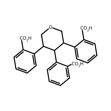 O=C(O)c1ccccc1C1COCC(c2ccccc2C(=O)O)C1c1ccccc1C(=O)O